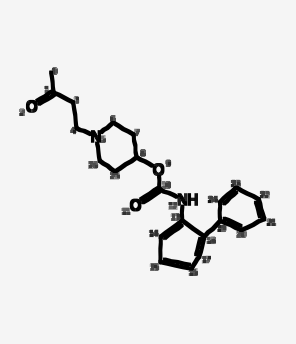 CC(=O)CCN1CCC(OC(=O)Nc2ccccc2-c2ccccc2)CC1